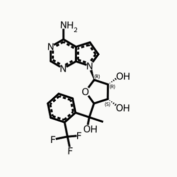 CC(O)(c1ccccc1C(F)(F)F)C1O[C@@H](n2ccc3c(N)ncnc32)[C@H](O)[C@@H]1O